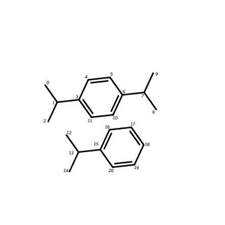 CC(C)c1ccc(C(C)C)cc1.CC(C)c1ccccc1